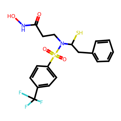 O=C(CCN(C(S)Cc1ccccc1)S(=O)(=O)c1ccc(C(F)(F)F)cc1)NO